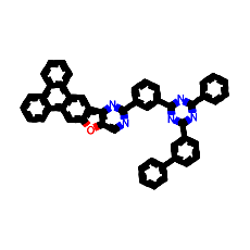 c1ccc(-c2cccc(-c3nc(-c4ccccc4)nc(-c4cccc(-c5ncc6oc7cc8c9ccccc9c9ccccc9c8cc7c6n5)c4)n3)c2)cc1